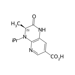 CC(C)N1c2ncc(C(=O)O)cc2NC(=O)[C@@H]1C